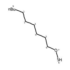 CCCCCCCCCCOS